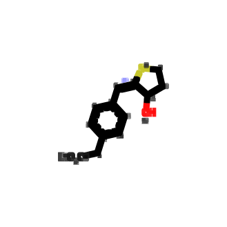 CCOC(=O)Cc1ccc(/C=C2/SCCC2O)cc1